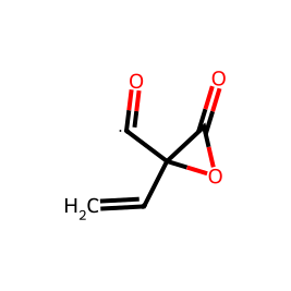 C=CC1([C]=O)OC1=O